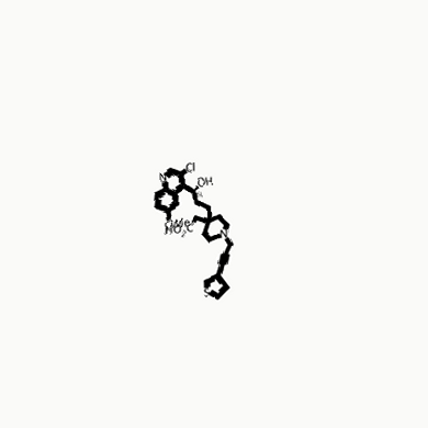 COc1ccc2ncc(Cl)c([C@@H](O)CCC3(CC(=O)O)CCN(CC#Cc4ccsc4)CC3)c2c1